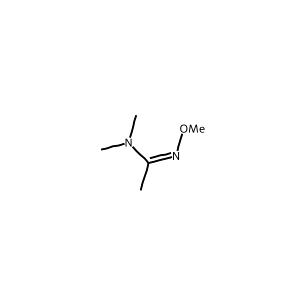 CO/N=C(/C)N(C)C